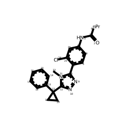 CCCC(=O)Nc1ccc(-c2nnc(C3(c4ccccc4)CC3)n2C)c(Cl)c1